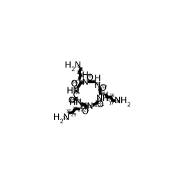 NCCCC[C@@H]1NC(=O)CNC(=O)[C@H](CCCCN)NC(=O)CNC(=O)[C@H](CCCCN)NC(=O)CNC1=O